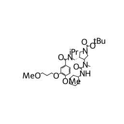 COCCCOc1cc(C(=O)N(C[C@@H]2CN(C(=O)OC(C)(C)C)C[C@H]2N(C)C(=O)NC2CCCCC2)C(C)C)ccc1OC